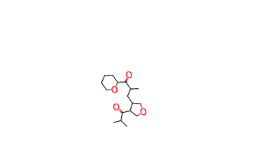 CC(C)C(=O)C1COCC1CC(C)C(=O)C1CCCCO1